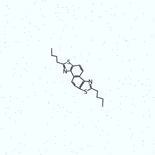 CCCCc1nc2c(ccc3c2ccc2sc(CCCC)nc23)s1